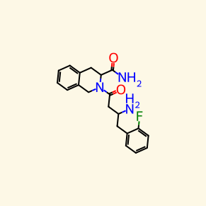 NC(=O)C1Cc2ccccc2CN1C(=O)CC(N)Cc1ccccc1F